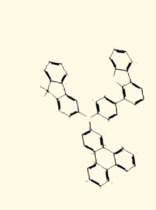 CC1(C)c2ccccc2-c2cc(N(c3ccc(-c4cccc5c4oc4ccccc45)cc3)c3ccc4c5ccccc5c5ccccc5c4c3)ccc21